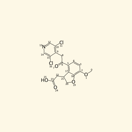 COc1ccc(C(=O)Cc2c(Cl)cncc2Cl)c2c1OCC2CC(=O)O